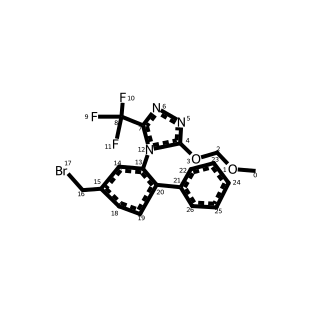 COCOc1nnc(C(F)(F)F)n1-c1cc(CBr)ccc1-c1ccccc1